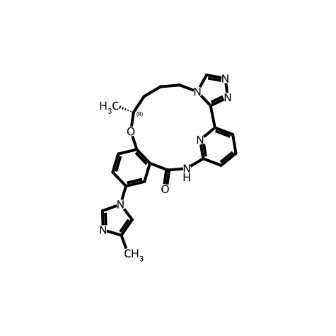 Cc1cn(-c2ccc3c(c2)C(=O)Nc2cccc(n2)-c2nncn2CCC[C@@H](C)O3)cn1